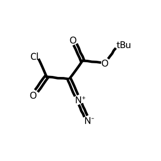 CC(C)(C)OC(=O)C(=[N+]=[N-])C(=O)Cl